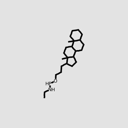 CCNPOCCCC1CCC2C3CCC4CCCCC4(C)C3CCC12C